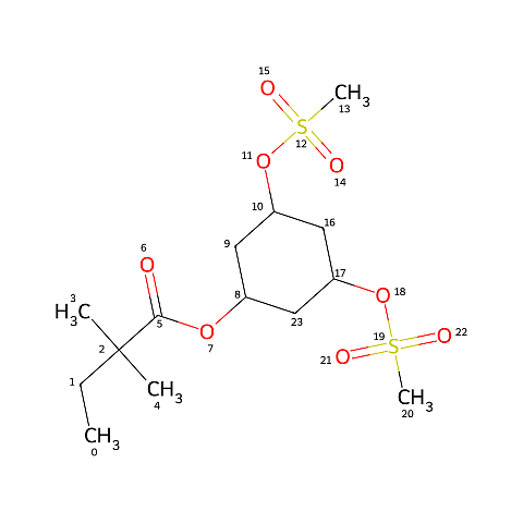 CCC(C)(C)C(=O)OC1CC(OS(C)(=O)=O)CC(OS(C)(=O)=O)C1